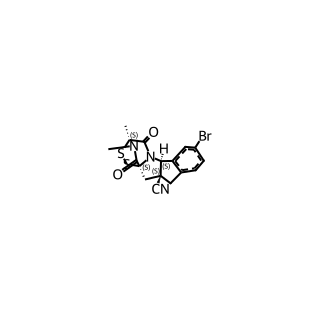 CN1C(=O)[C@@]23C[C@@]4(C#N)Cc5ccc(Br)cc5[C@@H]4N2C(=O)[C@]1(C)SS3